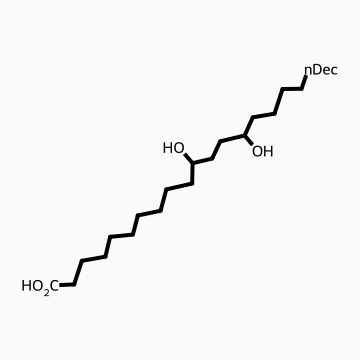 CCCCCCCCCCCCCCC(O)CCC(O)CCCCCCCCCC(=O)O